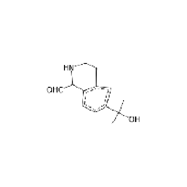 CC(C)(O)c1ccc2c(c1)CCNC2C=O